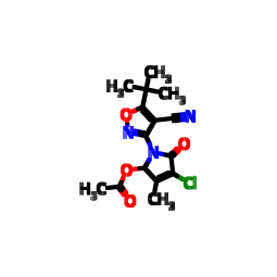 CC(=O)OC1C(C)=C(Cl)C(=O)N1c1noc(C(C)(C)C)c1C#N